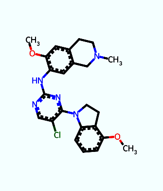 COc1cc2c(cc1Nc1ncc(Cl)c(N3CCc4c(OC)cccc43)n1)CN(C)CC2